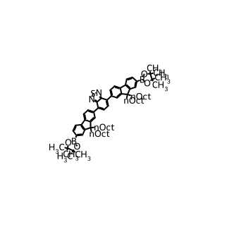 CCCCCCCCC1(CCCCCCCC)c2cc(B3OC(C)(C)C(C)(C)O3)ccc2-c2ccc(-c3ccc(-c4ccc5c(c4)C(CCCCCCCC)(CCCCCCCC)c4cc(B6OC(C)(C)C(C)(C)O6)ccc4-5)c4nsnc34)cc21